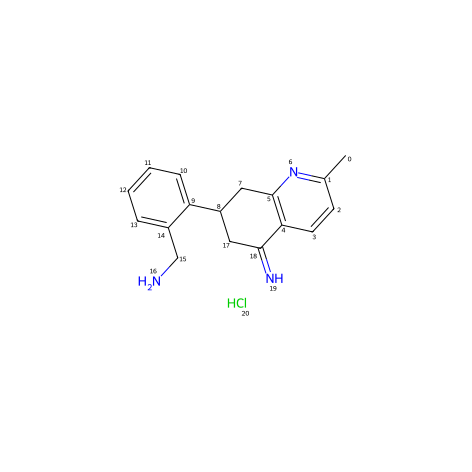 Cc1ccc2c(n1)CC(c1ccccc1CN)CC2=N.Cl